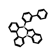 c1ccc(-c2cccc(N3c4ccccc4-c4ccccc4-n4c3cc3ccccc34)c2)cc1